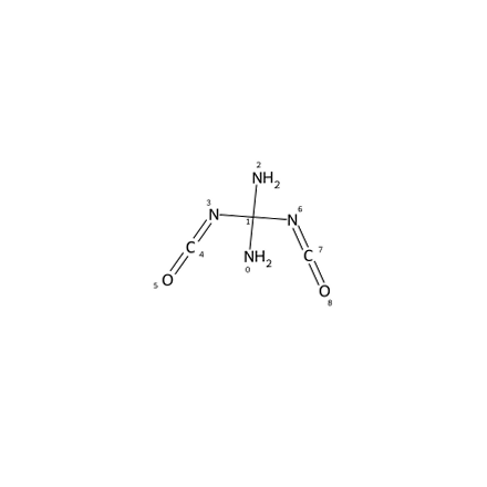 NC(N)(N=C=O)N=C=O